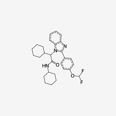 O=C(NC1CCCCC1)C(C1CCCCC1)n1c(-c2ccc(OC(F)F)cc2)nc2ccccc21